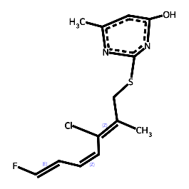 C\C(CSc1nc(C)cc(O)n1)=C(Cl)/C=C\C=C\F